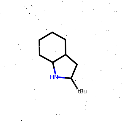 CC(C)(C)C1CC2CCCCC2N1